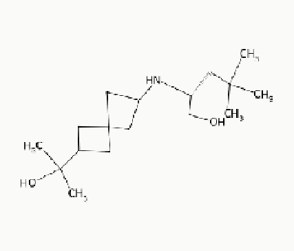 CC(C)(C)C[C@H](CO)NC1CC2(C1)CC(C(C)(C)O)C2